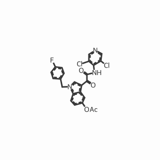 CC(=O)Oc1ccc2c(c1)c(C(=O)C(=O)Nc1c(Cl)cncc1Cl)cn2Cc1ccc(F)cc1